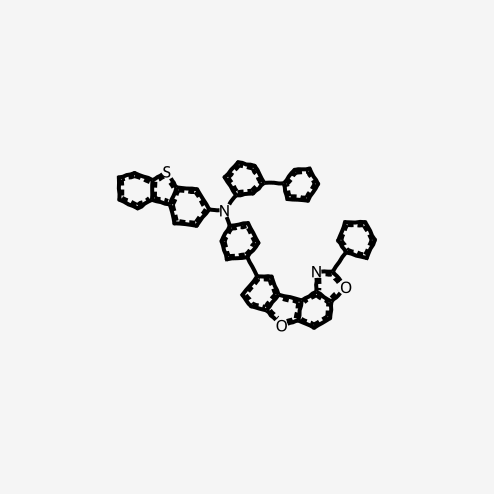 c1ccc(-c2cccc(N(c3ccc(-c4ccc5oc6ccc7oc(-c8ccccc8)nc7c6c5c4)cc3)c3ccc4c(c3)sc3ccccc34)c2)cc1